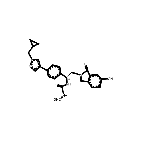 O=CNC(=O)N[C@@H](CN1Cc2ccc(O)cc2C1=O)c1ccc(-c2cnn(CC3CC3)c2)cc1